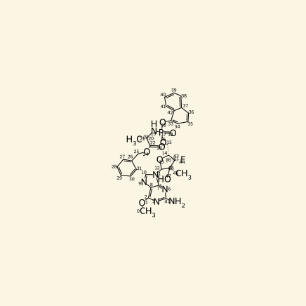 COc1nc(N)nc2c1ncn2C1O[C@H](COP(=O)(N[C@@H](C)C(=O)OCc2ccccc2)Oc2cccc3ccccc23)[C@H](F)[C@@]1(C)O